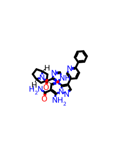 NC(=O)c1c([C@@H]2C[C@H]3CC[C@@H](C2)N3C(=O)c2nc[nH]n2)nc2c(-c3ccc(-c4ccccc4)nc3)cnn2c1N